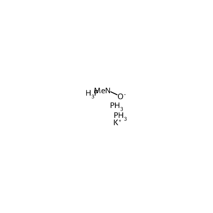 CN[O-].P.P.P.[K+]